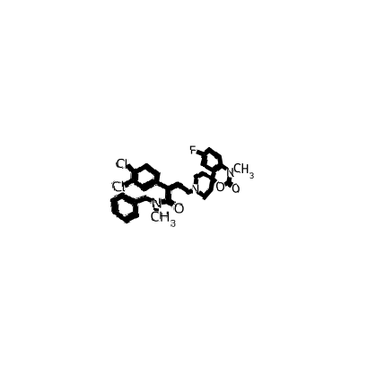 CN(Cc1ccccc1)C(=O)C(CCN1CCC2(CC1)OC(=O)N(C)c1ccc(F)cc12)c1ccc(Cl)c(Cl)c1